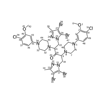 COc1cc(N2CCN(C(Cn3nc(C)c(Br)c3Br)C(=O)C(Cn3nc(C)c(Br)c3Br)N3CCN(c4ccc(Cl)c(OC)c4)CC3)CC2)ccc1Cl